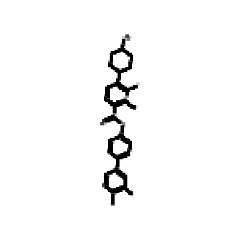 CCCC1CCC(c2ccc(C(=O)Oc3ccc(-c4ccc(C)c(F)c4)cc3)c(F)c2F)CC1